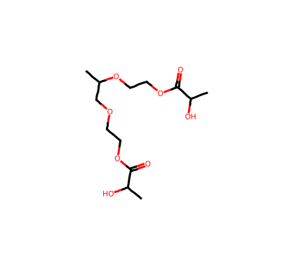 CC(COCCOC(=O)C(C)O)OCCOC(=O)C(C)O